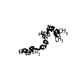 C[C@@H]1CN(c2ccn3ncc(C(=O)NC4=NC([C@H]5CC[C@H](CN6CCC(CC#Cc7cccc8c7n(C)c(=O)n8C7CCC(=O)NC7=O)CC6)CC5)N=C4C(F)F)c3c2)C[C@@H](C)O1